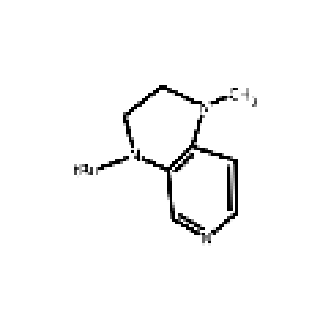 CN1CCN(C(C)(C)C)c2cnccc21